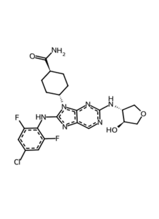 NC(=O)[C@H]1CC[C@H](n2c(Nc3c(F)cc(Cl)cc3F)nc3cnc(N[C@@H]4COC[C@H]4O)nc32)CC1